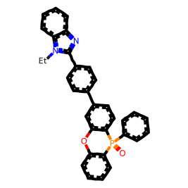 CCn1c(-c2ccc(-c3ccc4c(c3)Oc3ccccc3P4(=O)c3ccccc3)cc2)nc2ccccc21